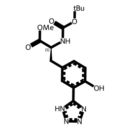 COC(=O)[C@H](Cc1ccc(O)c(-c2nnn[nH]2)c1)NC(=O)OC(C)(C)C